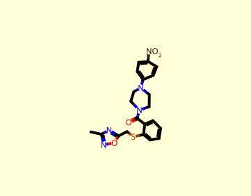 Cc1noc(CSc2ccccc2C(=O)N2CCN(c3ccc([N+](=O)[O-])cc3)CC2)n1